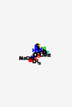 COC(=O)CN([C@H]1CC[C@@H](C2=C(C(=O)OC)C(c3ccc(F)cc3Cl)N=C(c3nccs3)N2)CC1)S(C)(=O)=O